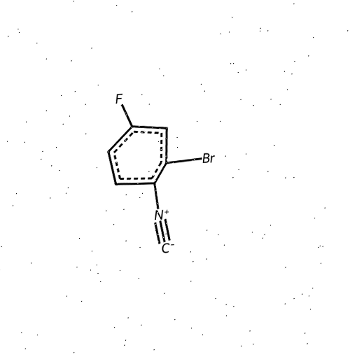 [C-]#[N+]c1ccc(F)cc1Br